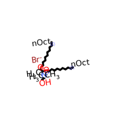 CCCCCCCC/C=C\CCCCCCCCOC(C)C(OCCCCCCCC/C=C\CCCCCCCC)[N+](C)(C)CCO.[Br-]